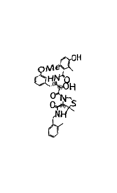 COc1cccc(C[C@H](NC(=O)c2cccc(O)c2C)[C@H](O)C(=O)N2CSC(C)(C)[C@H]2C(=O)NCc2ccccc2C)c1